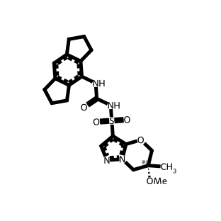 CO[C@@]1(C)COc2c(S(=O)(=O)NC(=O)Nc3c4c(cc5c3CCC5)CCC4)cnn2C1